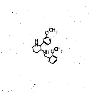 COc1cccc(C2NCCCC2NCc2ccccc2OC)c1